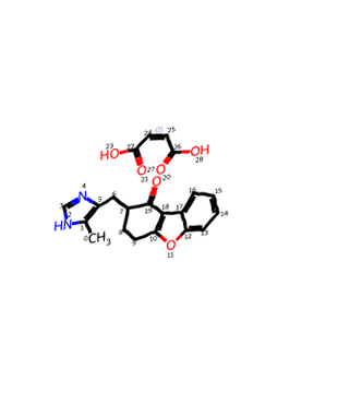 Cc1[nH]cnc1CC1CCc2oc3ccccc3c2C1=O.O=C(O)/C=C\C(=O)O